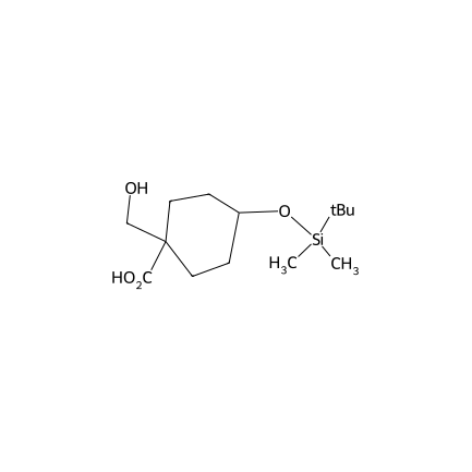 CC(C)(C)[Si](C)(C)OC1CCC(CO)(C(=O)O)CC1